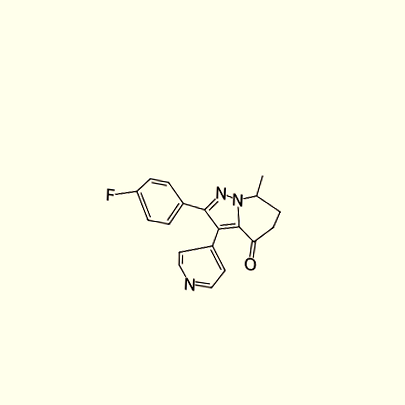 CC1CCC(=O)c2c(-c3ccncc3)c(-c3ccc(F)cc3)nn21